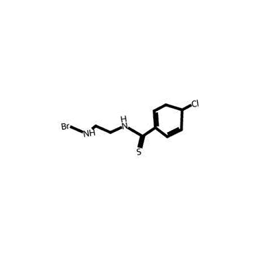 S=C(NCCNBr)C1=CCC(Cl)C=C1